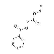 C=COC(=O)COC(=O)c1ccccc1